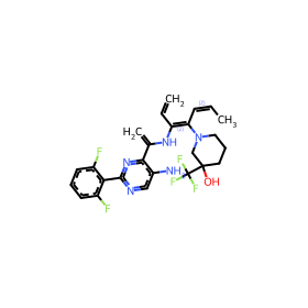 C=C/C(NC(=C)c1nc(-c2c(F)cccc2F)ncc1N)=C(\C=C/C)N1CCCC(O)(C(F)(F)F)C1